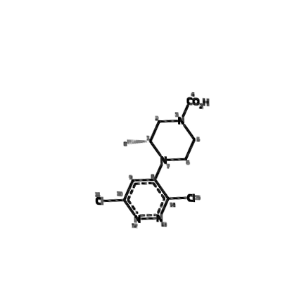 C[C@@H]1CN(C(=O)O)CCN1c1cc(Cl)nnc1Cl